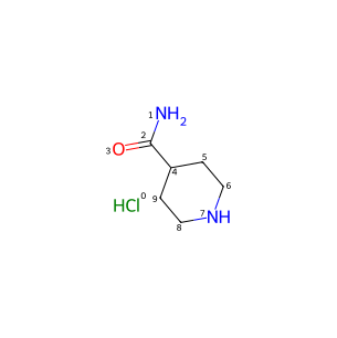 Cl.NC(=O)C1CCNCC1